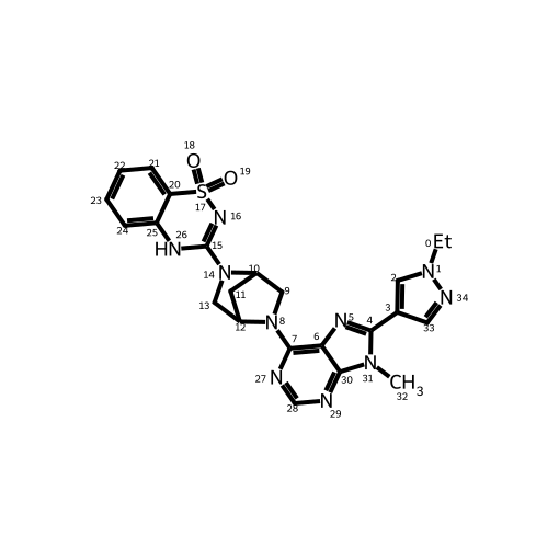 CCn1cc(-c2nc3c(N4CC5CC4CN5C4=NS(=O)(=O)c5ccccc5N4)ncnc3n2C)cn1